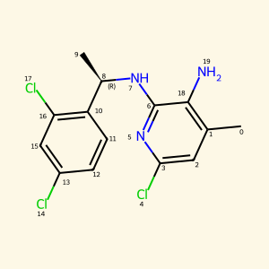 Cc1cc(Cl)nc(N[C@H](C)c2ccc(Cl)cc2Cl)c1N